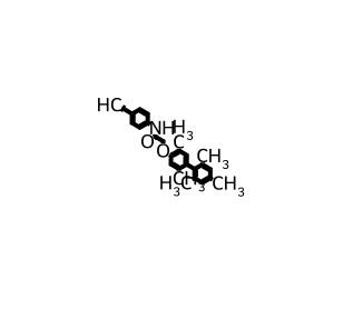 C#Cc1ccc(NC(=O)COc2cc(C)c(-c3c(C)cc(C)cc3C)cc2C)cc1